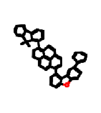 CC1(C)c2ccccc2-c2cccc(-c3ccc4ccc5c(-c6cccc7oc8ccc(-c9ccccc9)cc8c67)ccc6ccc3c4c65)c21